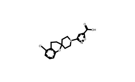 O=C(O)c1cc(N2CCC3(CCc4c(Cl)cccc4O3)CC2)no1